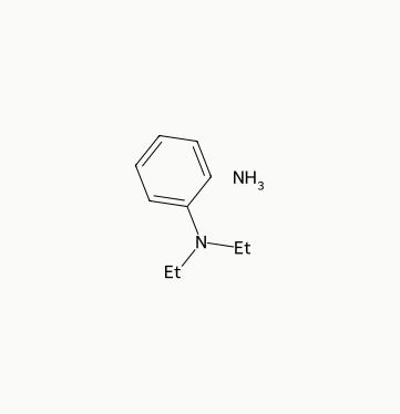 CCN(CC)c1ccccc1.N